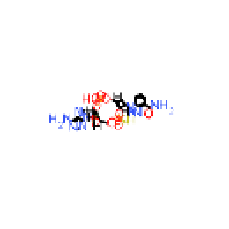 NC(=O)c1cccc2c1nnn2[C@@H]1C[C@@H]2COP(=O)(O)O[C@@H]3[C@H](F)[C@@H](COP(=O)(S)O[C@H]21)O[C@H]3n1cnc2c(N)ncnc21